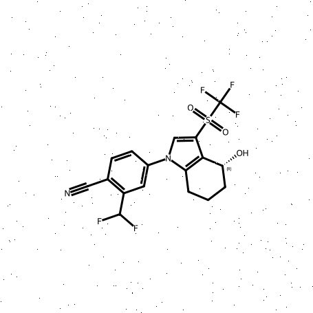 N#Cc1ccc(-n2cc(S(=O)(=O)C(F)(F)F)c3c2CCC[C@H]3O)cc1C(F)F